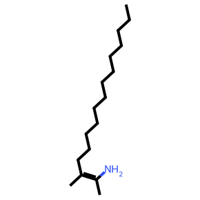 CCCCCCCCCCCCCC(C)=C(C)N